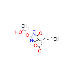 CCCCc1cc(=O)oc2nc(OCC(C)O)[nH]c(=O)c12